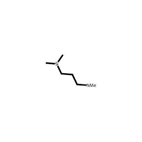 CNCCC[Si](C)C